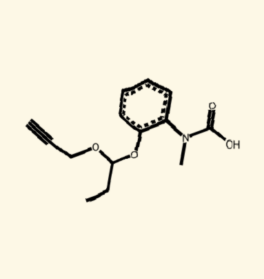 C#CCOC(CC)Oc1ccccc1N(C)C(=O)O